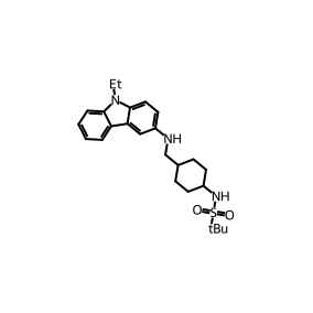 CCn1c2ccccc2c2cc(NCC3CCC(NS(=O)(=O)C(C)(C)C)CC3)ccc21